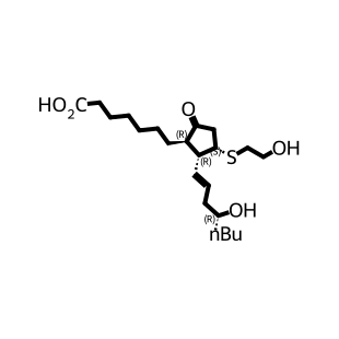 CCCC[C@@H](O)CC=C[C@H]1[C@@H](SCCO)CC(=O)[C@@H]1CCCCCCC(=O)O